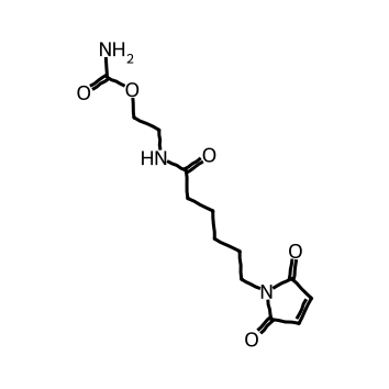 NC(=O)OCCNC(=O)CCCCCN1C(=O)C=CC1=O